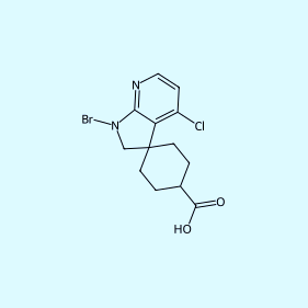 O=C(O)C1CCC2(CC1)CN(Br)c1nccc(Cl)c12